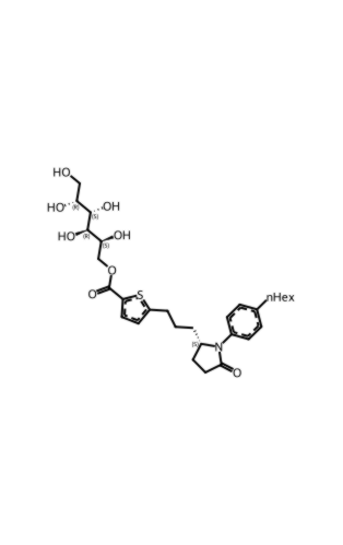 CCCCCCc1ccc(N2C(=O)CC[C@@H]2CCCc2ccc(C(=O)OC[C@H](O)[C@@H](O)[C@@H](O)[C@H](O)CO)s2)cc1